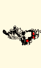 CNN(C)Cc1cc2ccccc2n1CCC(=O)N[C@@H](CC(N)=O)C(=O)NCCOCCOCCC(=O)N(C)[C@@H](C)C(=O)O[C@H]1CC(=O)N(C)c2cc(cc(OC)c2Cl)C/C(C)=C/C=C/[C@@H](OC)[C@@]2(O)C[C@H](OC(=O)N2)C2(C)C[C@@]1(C)O2